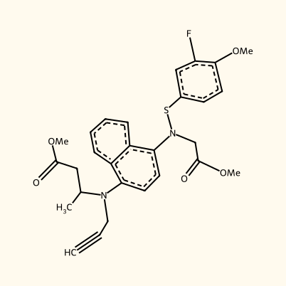 C#CCN(c1ccc(N(CC(=O)OC)Sc2ccc(OC)c(F)c2)c2ccccc12)C(C)CC(=O)OC